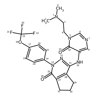 CN(C)CCn1cncc(Nc2nn(-c3ccc(OC(F)(F)F)cc3)c(=O)c3c2CCC3)c1=O